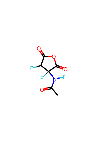 CC(=O)N(F)[C@]1(F)C(=O)OC(=O)C1F